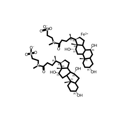 C[C@H](CCC(=O)N(C)CCS(=O)(=O)[O-])[C@H]1CCC2C3C(C[C@H](O)[C@@]21C)[C@@]1(C)CC[C@@H](O)CC1C[C@H]3O.C[C@H](CCC(=O)N(C)CCS(=O)(=O)[O-])[C@H]1CCC2C3C(C[C@H](O)[C@@]21C)[C@@]1(C)CC[C@@H](O)CC1C[C@H]3O.[Fe+2]